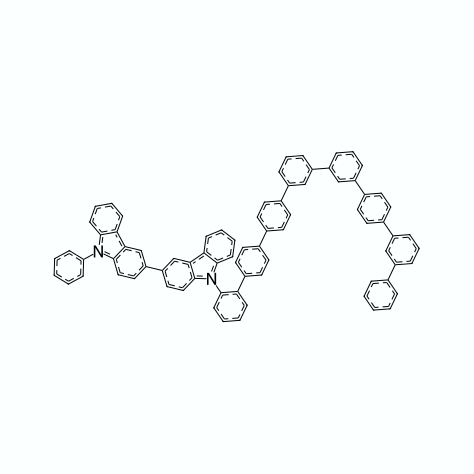 c1ccc(-c2cccc(-c3ccc(-c4cccc(-c5cccc(-c6ccc(-c7ccc(-c8ccccc8-n8c9ccccc9c9cc(-c%10ccc%11c(c%10)c%10ccccc%10n%11-c%10ccccc%10)ccc98)cc7)cc6)c5)c4)cc3)c2)cc1